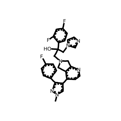 Cn1cc(-c2ccnc3c2CN(CC(O)(Cn2ccnc2)c2ccc(F)cc2F)C3)c(-c2ccc(F)cc2)n1